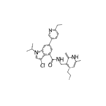 C=C1NC(C)=CC(CCC)=C1CNC(=O)c1cc(-c2ccc(CC)nc2)cc2c1c(Cl)cn2C(C)C